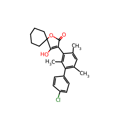 Cc1cc(C)c(-c2ccc(Cl)cc2)c(C)c1C1=C(O)C2(CCCCC2)OC1=O